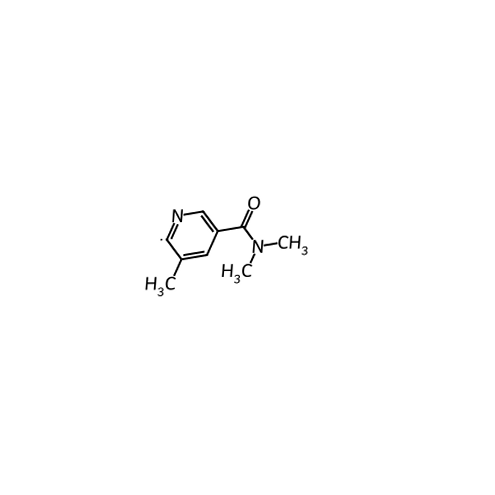 Cc1[c]ncc(C(=O)N(C)C)c1